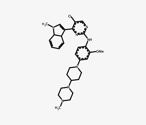 COc1cc(N2CCC(N3CCN(C)CC3)CC2)ccc1Nc1ncc(Cl)c(C2=CN(C)C3C=CC=CC23)n1